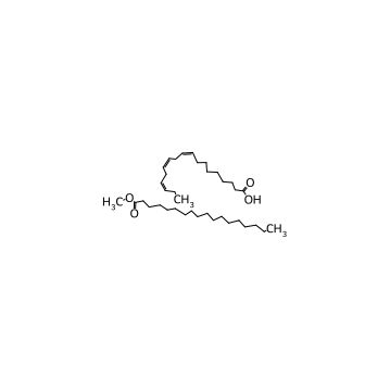 CC/C=C\C/C=C\C/C=C\CCCCCCCC(=O)O.CCCCCCCCCCCCCCCCCC(=O)OC